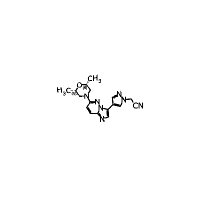 C[C@@H]1CN(c2ccc3ncc(-c4cnn(CC#N)c4)n3n2)C[C@H](C)O1